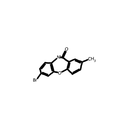 Cc1ccc2c(c1)C(=O)Nc1ccc(Br)cc1O2